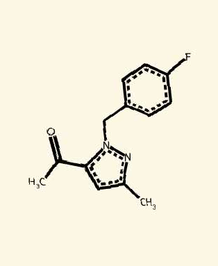 CC(=O)c1cc(C)nn1Cc1ccc(F)cc1